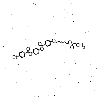 C=CC(=O)OCCCCCOc1ccc(C(=O)OC2=CC=C(OC(=O)c3ccc(CC)cc3)CC2)cc1